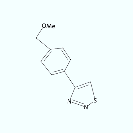 COCc1ccc(-c2csnn2)cc1